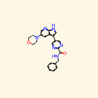 O=C(NCc1ccccc1)c1ncc(-c2c[nH]c3ncc(N4CCOCC4)cc23)cn1